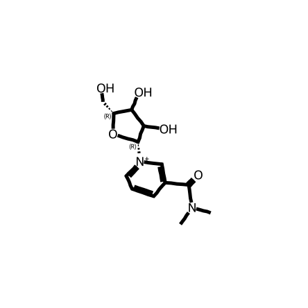 CN(C)C(=O)c1ccc[n+]([C@@H]2O[C@H](CO)C(O)C2O)c1